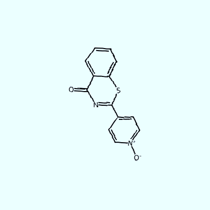 O=c1nc(-c2cc[n+]([O-])cc2)sc2ccccc12